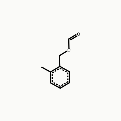 O=COCc1ccccc1I